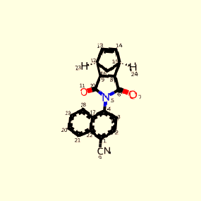 N#Cc1ccc(N2C(=O)C3C(C2=O)[C@H]2C=C[C@@H]3C2)c2ccccc12